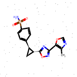 Cc1ncoc1-c1noc([C@@H]2C[C@H]2c2ccc(S(N)(=O)=O)cc2)n1